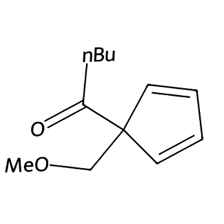 CCCCC(=O)C1(COC)C=CC=C1